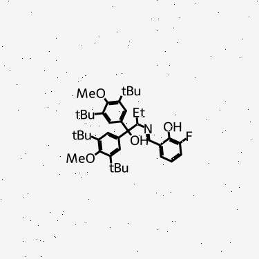 CCC(N=Cc1cccc(F)c1O)C(O)(c1cc(C(C)(C)C)c(OC)c(C(C)(C)C)c1)c1cc(C(C)(C)C)c(OC)c(C(C)(C)C)c1